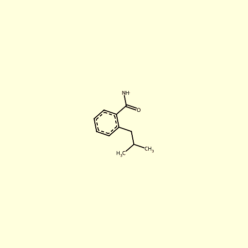 CC(C)Cc1ccccc1C([NH])=O